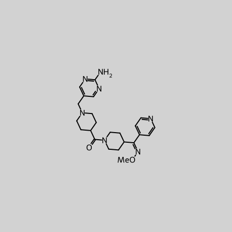 CON=C(c1ccncc1)C1CCN(C(=O)C2CCN(Cc3cnc(N)nc3)CC2)CC1